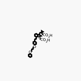 Cc1c(CC2(CC(=O)O)CC2)c2cccc(C=Cc3ccc(OC/C=C/COc4ccccc4)cc3)c2n1CC(=O)O